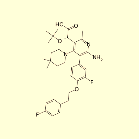 Cc1nc(N)c(-c2ccc(OCCc3ccc(F)cc3)c(F)c2)c(N2CCC(C)(C)CC2)c1[C@H](OC(C)(C)C)C(=O)O